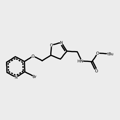 CC(C)(C)OC(=O)NCC1=NOC(COc2cccnc2Br)C1